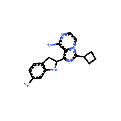 Cc1ccc2c(c1)NC(c1nc(C3CCC3)n3ccnc(N)c13)C2